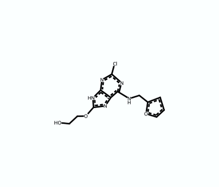 OCCOc1nc2c(NCc3ccco3)nc(Cl)nc2[nH]1